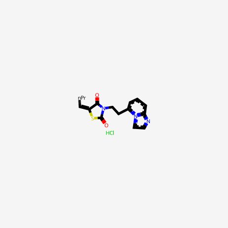 CCCC=C1SC(=O)N(CCc2cccc3nccn23)C1=O.Cl